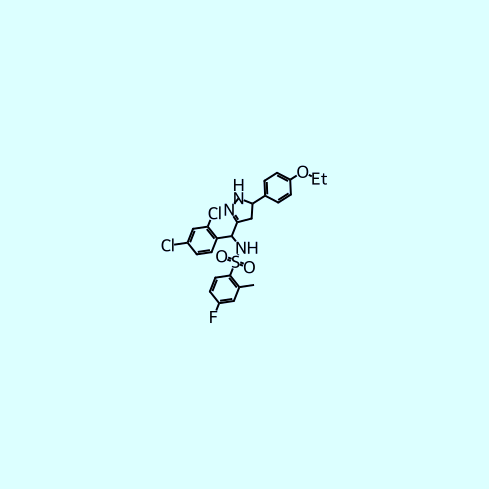 CCOc1ccc(C2CC(C(NS(=O)(=O)c3ccc(F)cc3C)c3ccc(Cl)cc3Cl)=NN2)cc1